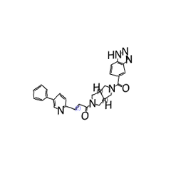 O=C(/C=C/c1ccc(-c2ccccc2)cn1)N1C[C@@H]2CN(C(=O)c3ccc4[nH]nnc4c3)C[C@H]2C1